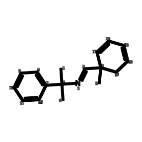 CC1(C=NC(C)(C)c2ccccc2)C=CC=CC1